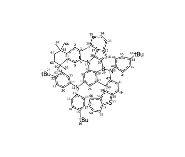 Cc1cc2c(cc1N1c3cc(N(c4ccc(C(C)(C)C)cc4)c4ccc(C(C)(C)C)cc4)cc4c3B(c3sc5ccccc5c31)N(c1ccc(C(C)(C)C)cc1)c1ccc3sc5ccccc5c3c1-4)C(C)(C)CCC2(C)C